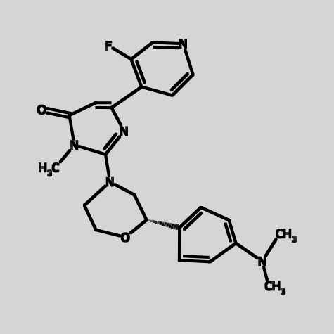 CN(C)c1ccc([C@H]2CN(c3nc(-c4ccncc4F)cc(=O)n3C)CCO2)cc1